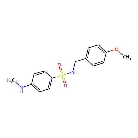 CNc1ccc(S(=O)(=O)NCc2ccc(OC)cc2)cc1